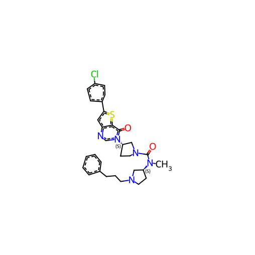 CN(C(=O)N1CC[C@H](n2cnc3cc(-c4ccc(Cl)cc4)sc3c2=O)C1)[C@H]1CCN(CCCc2ccccc2)C1